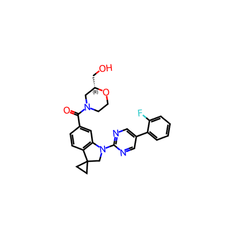 O=C(c1ccc2c(c1)N(c1ncc(-c3ccccc3F)cn1)CC21CC1)N1CCO[C@@H](CO)C1